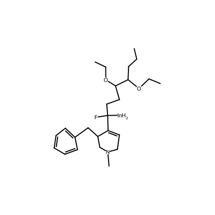 CCCC(OCC)C(CC[C](F)([InH2])C1=CCN(C)CC1Cc1ccccc1)OCC